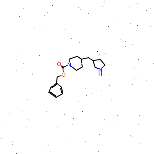 O=C(OCc1ccccc1)N1CCC(CC2CCNC2)CC1